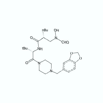 CCCC[C@H](CN(O)C=O)C(=O)N[C@H](C(=O)N1CCN(Cc2ccc3c(c2)OCO3)CC1)C(C)(C)C